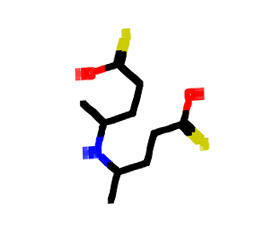 CC(CCC(O)=S)NC(C)CCC(O)=S